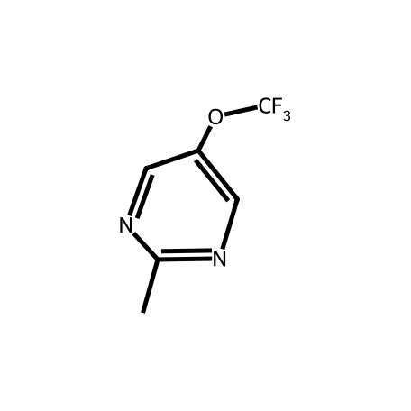 Cc1ncc(OC(F)(F)F)cn1